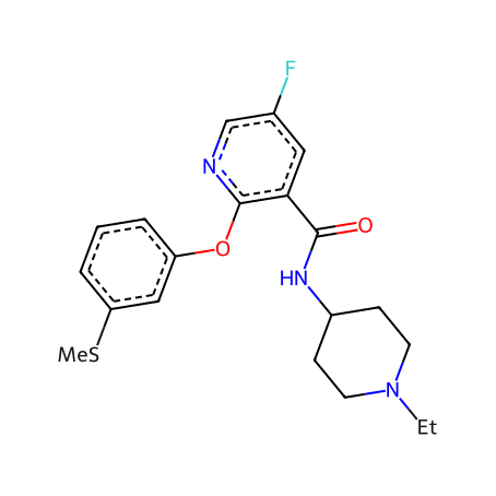 CCN1CCC(NC(=O)c2cc(F)cnc2Oc2cccc(SC)c2)CC1